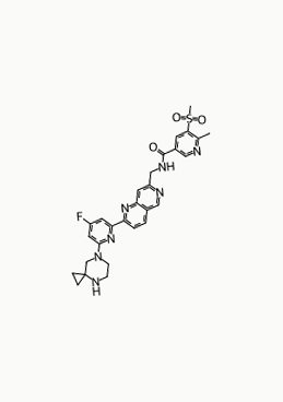 Cc1ncc(C(=O)NCc2cc3nc(-c4cc(F)cc(N5CCNC6(CC6)C5)n4)ccc3cn2)cc1S(C)(=O)=O